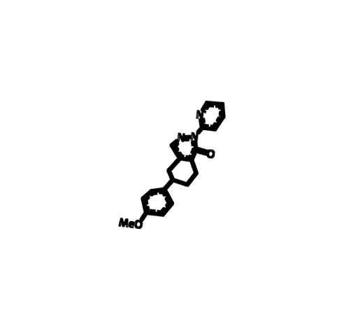 COc1ccc(C2CCc3c(cnn(-c4ccccn4)c3=O)C2)cc1